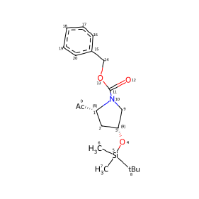 CC(=O)[C@H]1C[C@@H](O[Si](C)(C)C(C)(C)C)CN1C(=O)OCc1ccccc1